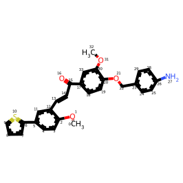 COc1ccc(-c2cccs2)cc1/C=C/C(=O)c1ccc(OCc2ccc(N)cc2)c(OC)c1